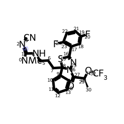 CN/C(=N/C#N)NCCCC1(c2ccccc2)SC(c2cc(F)ccc2F)=NN1C(=O)[C@H](C)OC(F)(F)F